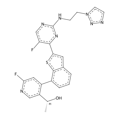 C[C@@H](O)c1cnc(F)cc1-c1cccc2cc(-c3nc(NCCn4ccnn4)ncc3F)sc12